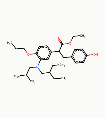 CCCOc1ccc(C(Cc2ccc(O)cc2)C(=O)OCC)cc1N(CC(C)C)CC(CC)CC